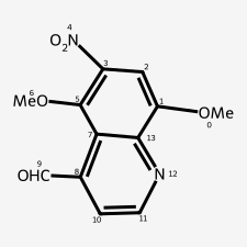 COc1cc([N+](=O)[O-])c(OC)c2c(C=O)ccnc12